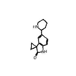 O=C1Nc2ccc(C3CCCCN3)cc2C12CC2